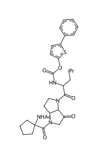 CC(=O)NC1(C(=O)N2CC(=O)C3C2CCN3C(=O)C(CC(C)C)NC(=O)Oc2ccc(-c3ccccc3)s2)CCCC1